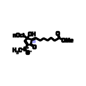 CCCCCCCCC1(O)C=C([S+](C)[O-])C(=O)/C1=C\CCCCCC(=O)OC